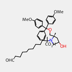 COc1ccc(C(OC[C@]2(C)C[C@@H](O)CN2C(C)(CCCCCCCCCC=O)C(=O)O)(c2ccccc2)c2ccc(OC)cc2)cc1